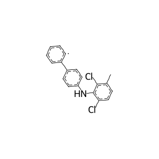 Cc1ccc(Cl)c(Nc2ccc(-c3[c]cccc3)cc2)c1Cl